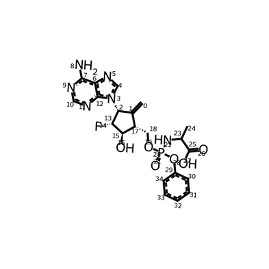 C=C1[C@@H](n2cnc3c(N)ncnc32)[C@@H](F)[C@H](O)[C@H]1CO[P@](=O)(NC(C)C(=O)O)Oc1ccccc1